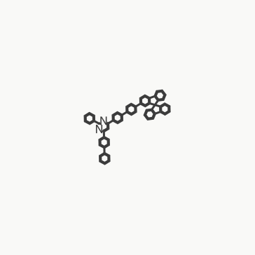 c1ccc(-c2ccc(-c3cc(-c4ccc(-c5ccc(-c6ccc7c(c6)C6(c8ccccc8-c8ccccc86)c6ccccc6-7)cc5)cc4)nc(-c4ccccc4)n3)cc2)cc1